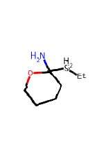 CC[SiH2]C1(N)CCCCO1